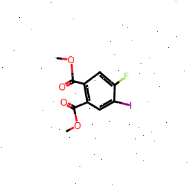 COC(=O)c1cc(F)c(I)cc1C(=O)OC